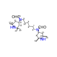 C=C1CC(N(C=O)CCCCCCN(C=O)C2CC(=C)NC(C)(C)C2)CC(=C)N1